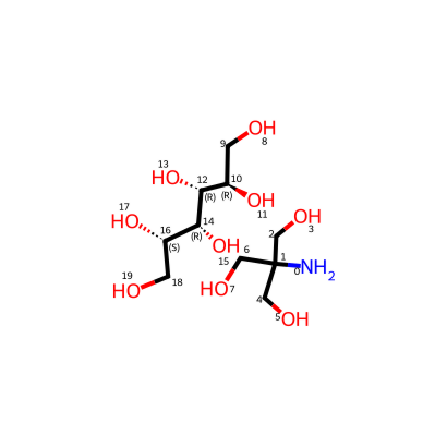 NC(CO)(CO)CO.OC[C@@H](O)[C@@H](O)[C@H](O)[C@@H](O)CO